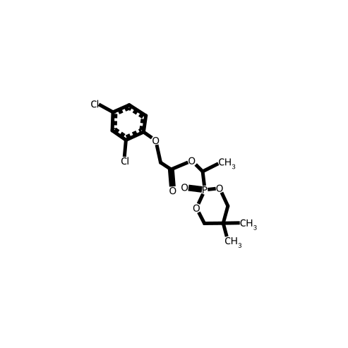 CC(OC(=O)COc1ccc(Cl)cc1Cl)P1(=O)OCC(C)(C)CO1